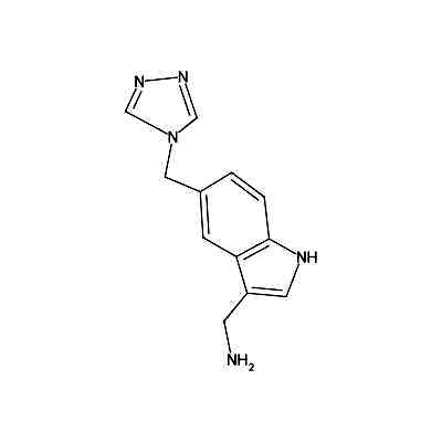 NCc1c[nH]c2ccc(Cn3cnnc3)cc12